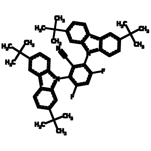 CC(C)(C)c1ccc2c(c1)c1ccc(C(C)(C)C)cc1n2-c1c(F)cc(F)c(-n2c3ccc(C(C)(C)C)cc3c3ccc(C(C)(C)C)cc32)c1C#N